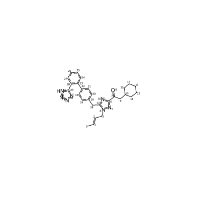 CC=CCn1nc(C(=O)CC2CCCCC2)nc1Cc1ccc(-c2ccccc2-c2nnn[nH]2)cc1